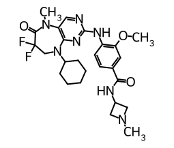 COc1cc(C(=O)NC2CN(C)C2)ccc1Nc1ncc2c(n1)N(C1CCCCC1)CC(F)(F)C(=O)N2C